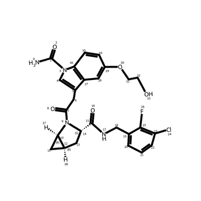 NC(=O)n1cc(CC(=O)N2[C@@H]3C[C@@H]3C[C@H]2C(=O)NCc2cccc(Cl)c2F)c2cc(OCCO)ccc21